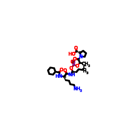 CCCC[C@@H](NC(=O)[C@H](CCCCN)NC(=O)C1CCCCC1)O[PH](=O)OC(C)C(=O)N1CCC[C@H]1C(=O)O